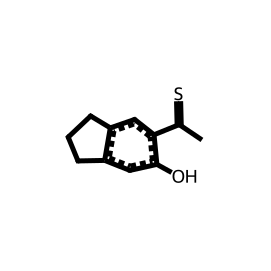 CC(=S)c1cc2c(cc1O)CCC2